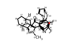 Cn1nc2c(c1-c1cc(F)c(F)c(F)c1)C[C@@H]1CCC[C@H]2N1CC(=O)c1cnccc1-n1cccn1